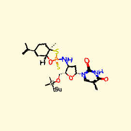 C=C(C)[C@H]1CC[C@@]2(C)SP(=S)(N[C@H]3C[C@H](n4cc(C)c(=O)[nH]c4=O)O[C@@H]3CO[Si](C)(C)C(C)(C)C)O[C@@H]2C1